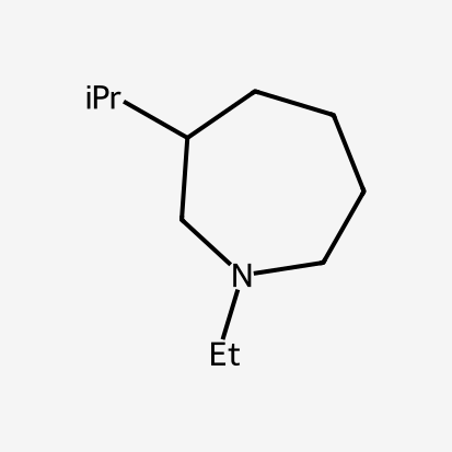 CCN1CCCCC(C(C)C)C1